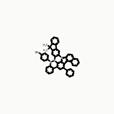 CC(C)(C)c1ccc(N2B3c4cc5c(cc4-n4c6ccc7ccccc7c6c6c(-c7ccccc7)cc(c3c64)-c3ccccc32)-c2ccccc2C5(C)C)cc1